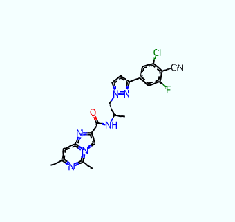 Cc1cc2nc(C(=O)NC(C)Cn3ccc(-c4cc(F)c(C#N)c(Cl)c4)n3)cn2c(C)n1